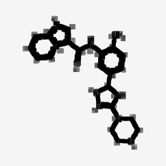 Cc1ccc(C2NC(N3CCOCC3)=NO2)cc1NC(=O)c1cnc2ccccn12